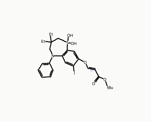 CCC1(CC)CN(c2ccccc2)c2cc(I)c(O/C=C/C(=O)OC(C)(C)C)cc2S(O)(O)C1